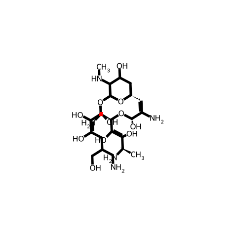 CNC1C(O)C[C@H](/C=C(/N)[C@H](O)O[C@H](CN)/C(O)=C(\O)[C@@H](C)N)OC1O[C@@H](O)/C(O)=C(/O)CC(CN)CO